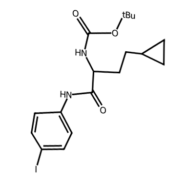 CC(C)(C)OC(=O)NC(CCC1CC1)C(=O)Nc1ccc(I)cc1